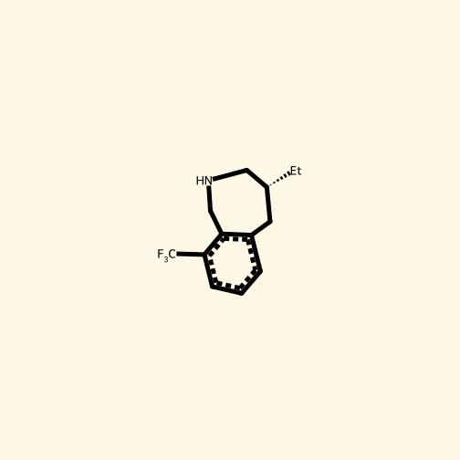 CC[C@H]1CNCc2c(cccc2C(F)(F)F)C1